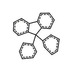 [c]1cccc2c1C(c1ccccc1)(c1ccccc1)c1ccccc1-2